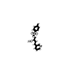 Cc1ccc(S(=O)(=O)OC[C@@H](O)CCc2cccnc2)cc1